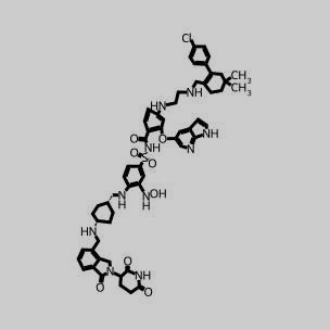 CC1(C)CCC(CNCCNc2ccc(C(=O)NS(=O)(=O)c3ccc(NC[C@H]4CC[C@@H](NCc5cccc6c5CN(C5CCC(=O)NC5=O)C6=O)CC4)c(NO)c3)c(Oc3cnc4[nH]ccc4c3)c2)=C(c2ccc(Cl)cc2)C1